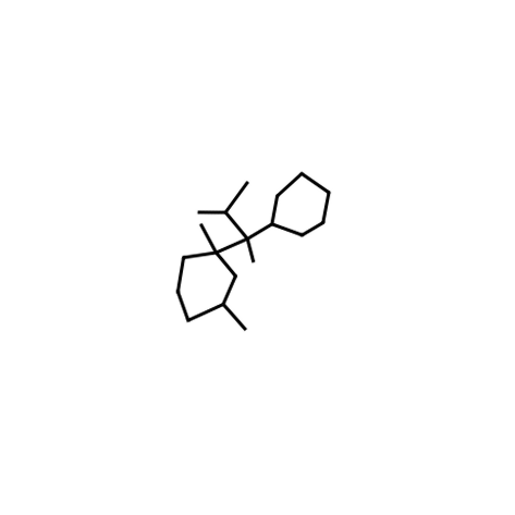 CC1CCCC(C)(C(C)(C(C)C)C2CCCCC2)C1